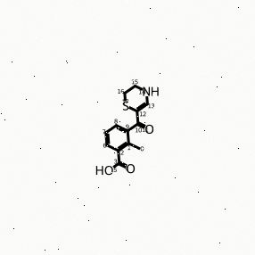 Cc1c(C(=O)O)cccc1C(=O)C1=CNCCS1